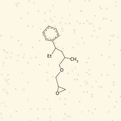 CCC(CC(C)COCC1CO1)c1ccccc1